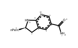 CCCCC[C@@H]1Cc2cc(C(N)=O)cnc2N1